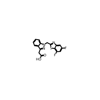 O=C(O)Cc1nn(Cc2nc3cc(F)cc(F)c3s2)c2ccccc12